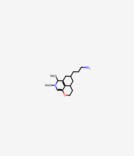 COC1C2=C3C(=CN1OC)OCCC3CC(CCCN)C2